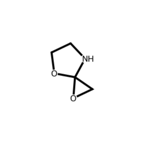 C1COC2(CO2)N1